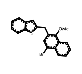 COc1c(Cc2cc3ccccc3s2)cc(Br)c2ccccc12